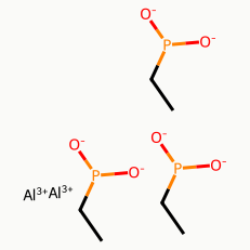 CCP([O-])[O-].CCP([O-])[O-].CCP([O-])[O-].[Al+3].[Al+3]